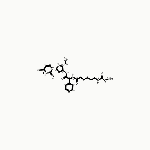 CC(C)(C)OC(=O)NCCCCCC(=O)NC(C(=O)O[C@H]1C[C@H](n2ccc(=O)[nH]c2=O)O[C@@H]1CO)c1ccccc1